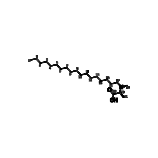 CCCCCCCCCCCCCCCCCCN(C)[C@@H](C)C(=O)O